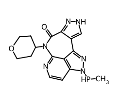 CPn1nc2c3c(nccc31)N(C1CCOCC1)C(=O)c1n[nH]cc1-2